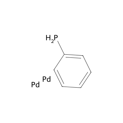 Pc1ccccc1.[Pd].[Pd]